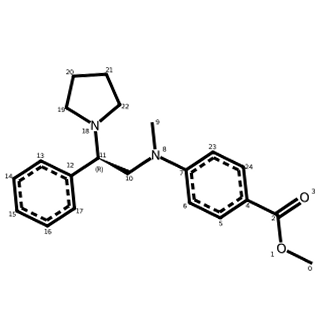 COC(=O)c1ccc(N(C)C[C@@H](c2ccccc2)N2CCCC2)cc1